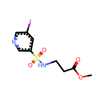 COC(=O)CCNS(=O)(=O)c1cncc(I)c1